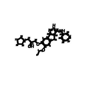 CCOc1cc2c(cc1OCC(O)CN1CCCC1)-c1n[nH]c(Nc3cccnc3)c1C2